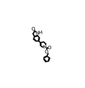 O=C1Cc2ccc(C3=CCN(C(=O)OCc4ccccc4)CC3)cc2N1